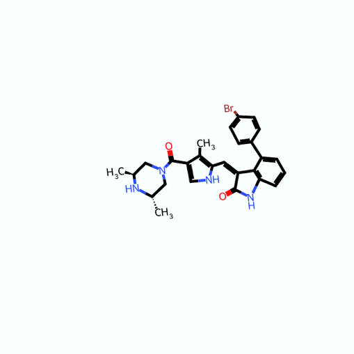 Cc1c(C(=O)N2C[C@H](C)N[C@@H](C)C2)c[nH]c1C=C1C(=O)Nc2cccc(-c3ccc(Br)cc3)c21